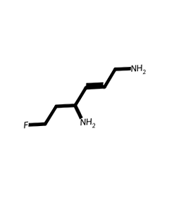 NC/C=C/C(N)CCF